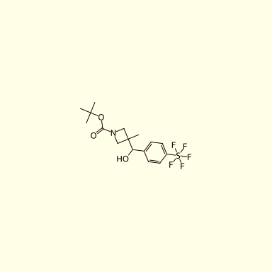 CC(C)(C)OC(=O)N1CC(C)(C(O)c2ccc(S(F)(F)(F)(F)F)cc2)C1